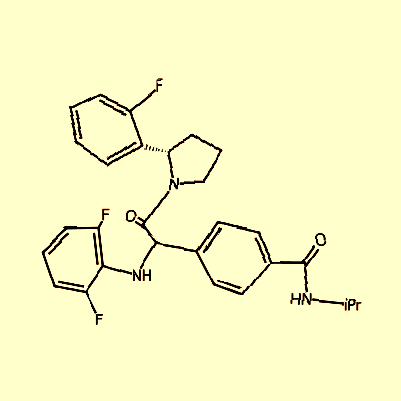 CC(C)NC(=O)c1ccc(C(Nc2c(F)cccc2F)C(=O)N2CCC[C@H]2c2ccccc2F)cc1